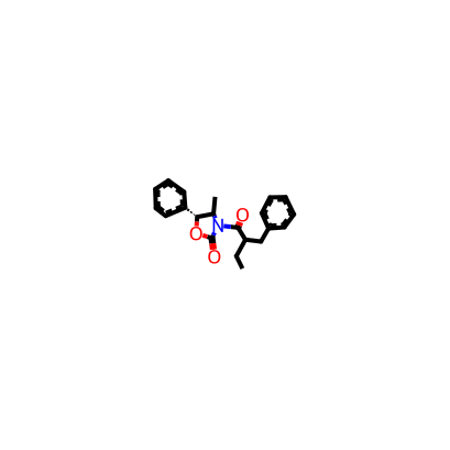 CCC(Cc1ccccc1)C(=O)N1C(=O)O[C@H](c2ccccc2)C1C